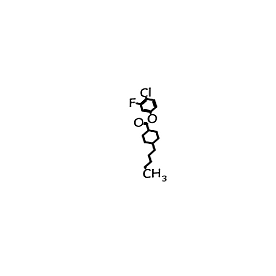 CCCCCC1CCC(C(=O)Oc2ccc(Cl)c(F)c2)CC1